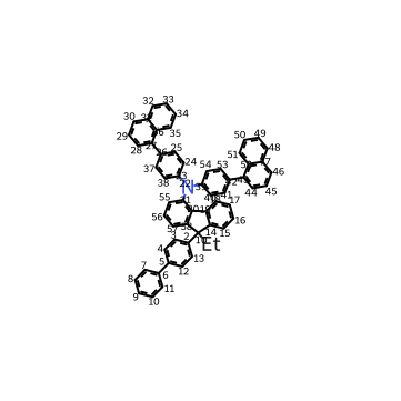 CCC1(c2ccc(-c3ccccc3)cc2)c2ccccc2-c2c(N(c3ccc(-c4cccc5ccccc45)cc3)c3ccc(-c4cccc5ccccc45)cc3)cccc21